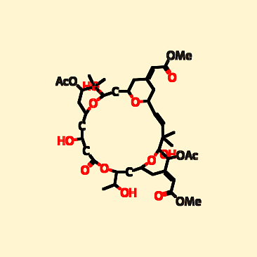 COC(=O)/C=C1\CC2/C=C/C(C)(C)C3(O)OC(C/C(=C\C(=O)OC)C3OC(C)=O)CC(C(C)O)OC(=O)CC(O)CC3CC(OC(C)=O)C(C)(C)C(O)(CC(C1)O2)O3